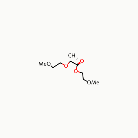 COCCOC(=O)[C@@H](C)OCCOC